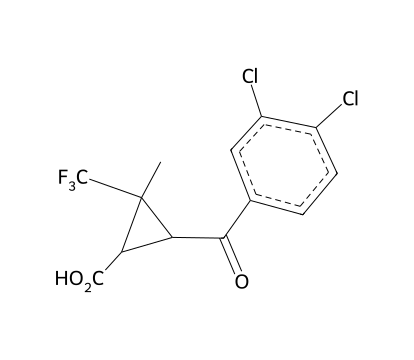 CC1(C(F)(F)F)C(C(=O)O)C1C(=O)c1ccc(Cl)c(Cl)c1